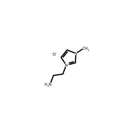 Cn1cc[n+](CCN)c1.[Cl-]